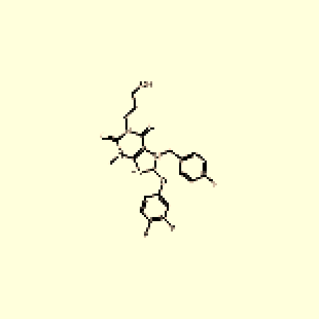 Cn1c2c(c(=O)n(CCCO)c1=O)N(Cc1ccc(F)cc1)C(Oc1ccc(F)c(F)c1)N2